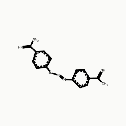 CC(=N)c1ccc(/N=N/Nc2ccc(C(=N)N)cc2)cc1